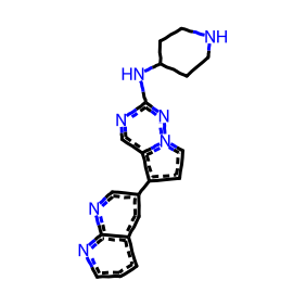 c1cnc2ncc(-c3ccn4nc(NC5CCNCC5)ncc34)cc2c1